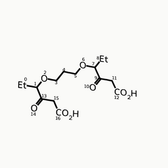 CCC(OCCCOC(CC)C(=O)CC(=O)O)C(=O)CC(=O)O